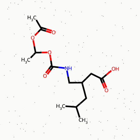 CC(=O)OC(C)OC(=O)NCC(CC(=O)O)CC(C)C